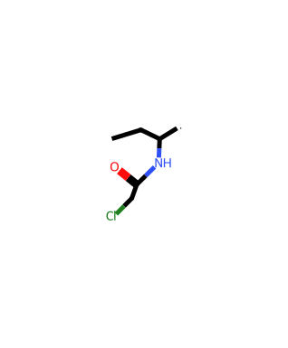 [CH2]C(CC)NC(=O)CCl